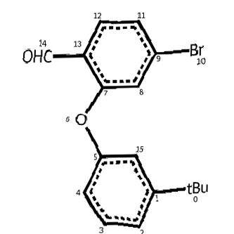 CC(C)(C)c1cccc(Oc2cc(Br)ccc2C=O)c1